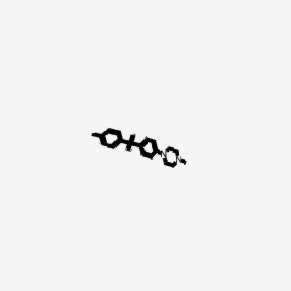 Cc1ccc(C(C)(C)c2ccc(N3CCN(C)CC3)cc2)cc1